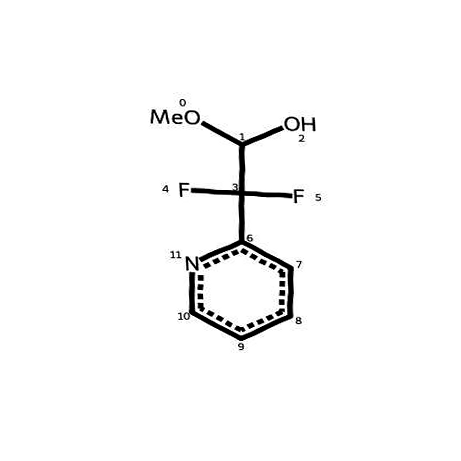 COC(O)C(F)(F)c1ccccn1